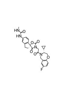 CNC(=O)Nc1ccc2c(c1)CC[C@@]21OC(=O)N(CC(=O)N2Cc3cc(F)ccc3OC[C@H]2C2CC2)C1=O